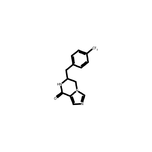 O=C1NC(Cc2ccc(C(F)(F)F)cc2)Cn2cncc21